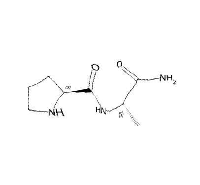 C[C@H](NC(=O)[C@@H]1CCCN1)C(N)=O